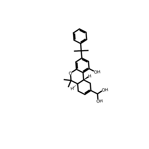 CC(C)(c1ccccc1)c1cc(O)c2c(c1)OC(C)(C)[C@@H]1CC=C(C(O)O)C[C@@H]21